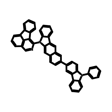 c1ccc(-n2c3ccccc3c3cc(-c4ccc5cc6c(cc5c4)c4ccccc4n6-c4ncc5cccc6c5c4-c4ccccc4-6)ccc32)cc1